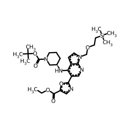 CCOC(=O)c1cnc(-c2cnc3c(ccn3COCC[Si](C)(C)C)c2N[C@@H]2CCCN(C(=O)OC(C)(C)C)C2)o1